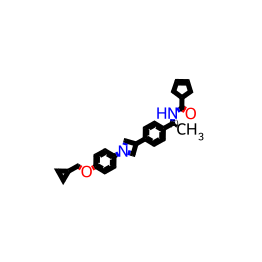 C[C@H](NC(=O)C1CC=CC1)c1ccc(C2CN(c3ccc(OCC4CC4)cc3)C2)cc1